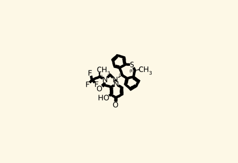 C[C@H]1Sc2ccccc2[C@@H](N2CN([C@H](C)C(F)(F)F)C(=O)c3c(O)c(=O)ccn32)c2ccccc21